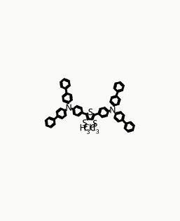 CSc1c(-c2ccc(N(c3ccc(-c4ccccc4)cc3)c3ccc(-c4ccccc4)cc3)cc2)sc(-c2ccc(N(c3ccc(-c4ccccc4)cc3)c3ccc(-c4ccccc4)cc3)cc2)c1SC